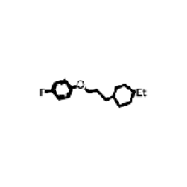 CCC1CCC(CCCOc2ccc(F)cc2)CC1